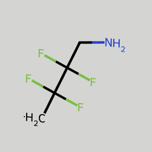 [CH2]C(F)(F)C(F)(F)CN